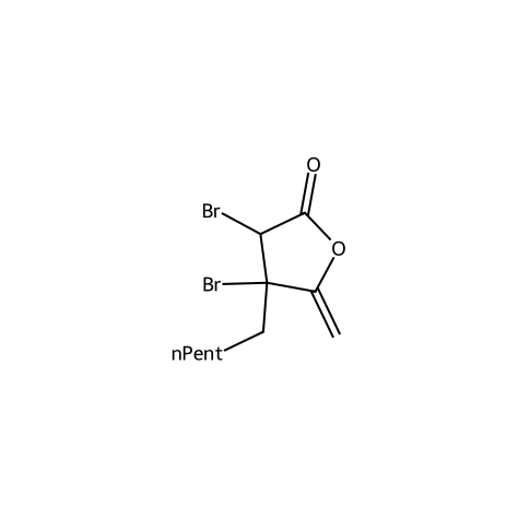 C=C1OC(=O)C(Br)C1(Br)CCCCCC